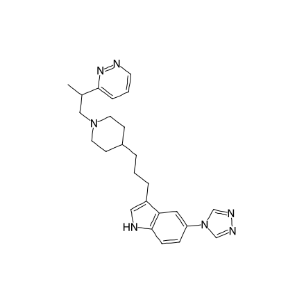 CC(CN1CCC(CCCc2c[nH]c3ccc(-n4cnnc4)cc23)CC1)c1cccnn1